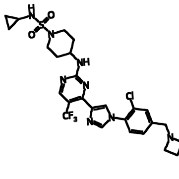 O=S(=O)(NC1CC1)N1CCC(Nc2ncc(C(F)(F)F)c(-c3cn(-c4ccc(CN5CCC5)cc4Cl)cn3)n2)CC1